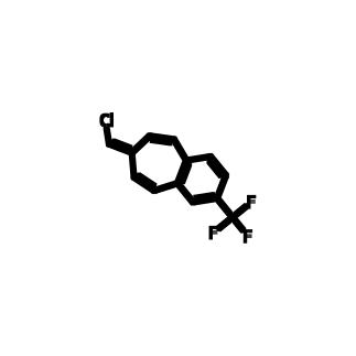 FC(F)(F)c1ccc2c(c1)C=CC(=CCl)C=C2